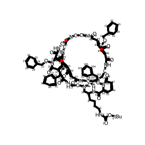 CC(C)(C)OC(=O)NCCCCC(CN1CCNC(=O)c2ccc(n(OCc3ccccc3)c2=O)C(=O)NCCN2CCNC(=O)c3ccc(c(=O)n3OCc3ccccc3)C(=O)NCCN(CCNC(=O)c3ccc(n(OCc4ccccc4)c3=O)C(=O)NCC2)CC1)NC(=O)c1cccc(=O)n1OCc1ccccc1